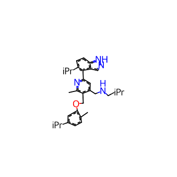 Cc1ccc(C(C)C)cc1OCc1c(CNCC(C)C)cc(-c2c(C(C)C)ccc3[nH]ncc23)nc1C